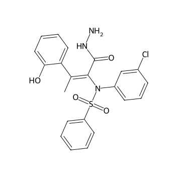 CC(=C(C(=O)NN)N(c1cccc(Cl)c1)S(=O)(=O)c1ccccc1)c1ccccc1O